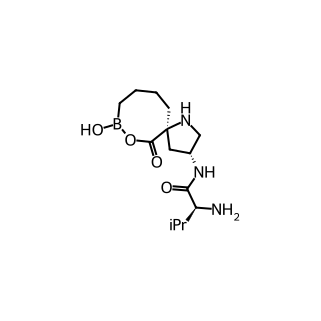 CC(C)[C@H](N)C(=O)N[C@H]1CN[C@@]2(CCCCB(O)OC2=O)C1